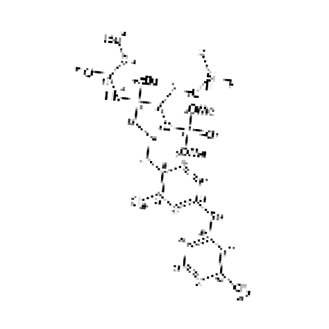 COP(=O)(OC)OC(CO[SiH](C)C)C(CCCc1ccc(Sc2cccc(C(F)(F)F)c2)cc1Cl)(NC(=O)OC(C)(C)C)C(C)(C)C